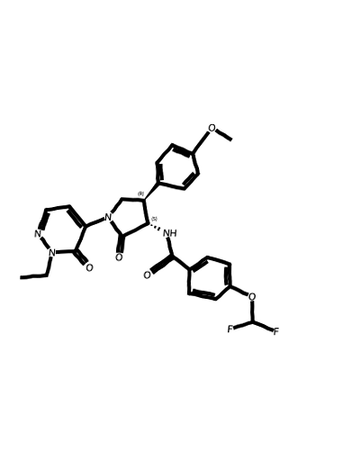 CCn1nccc(N2C[C@@H](c3ccc(OC)cc3)[C@H](NC(=O)c3ccc(OC(F)F)cc3)C2=O)c1=O